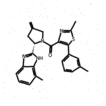 C=C1C[C@@H](c2nc3cccc(C)c3[nH]2)N(C(=O)c2nc(C)sc2-c2cccc(C)c2)C1